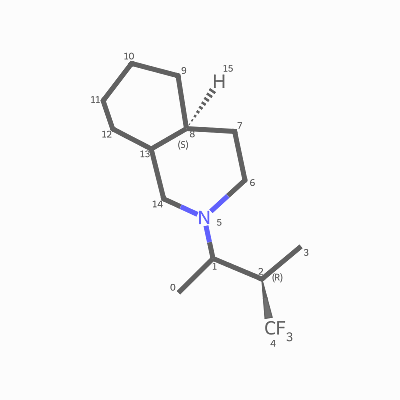 CC([C@@H](C)C(F)(F)F)N1CC[C@@H]2CCCCC2C1